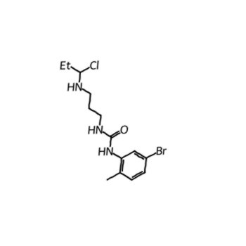 CCC(Cl)NCCCNC(=O)Nc1cc(Br)ccc1C